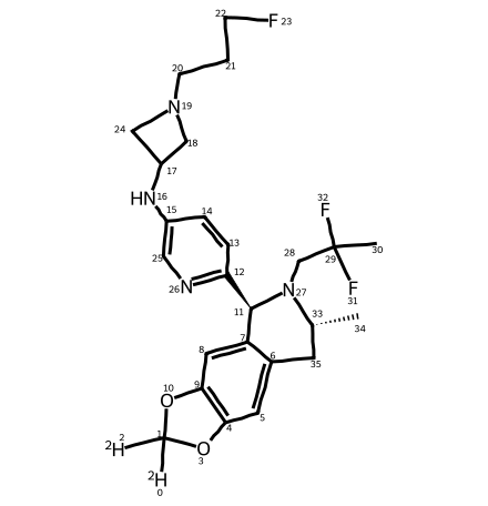 [2H]C1([2H])Oc2cc3c(cc2O1)[C@@H](c1ccc(NC2CN(CCCF)C2)cn1)N(CC(C)(F)F)[C@H](C)C3